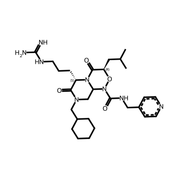 CC(C)C[C@H]1ON(C(=O)NCc2ccncc2)C2CN(CC3CCCCC3)C(=O)[C@H](CCCNC(=N)N)N2C1=O